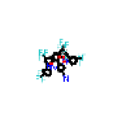 N#Cc1cc(-n2c3ccc(C(F)(F)F)cc3c3cc(C(F)(F)F)ccc32)c(-c2c(C#N)cccc2C(F)(F)F)c(-n2c3ccc(C(F)(F)F)cc3c3cc(C(F)(F)F)ccc32)c1